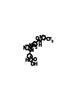 N[N+]12C=CN=CC1=C([C@@H]1CC[C@@H]3C[C@H](O)C(=O)N3C1)N=C2c1ccc(C(=O)Nc2cc(C(F)(F)F)ccn2)cc1